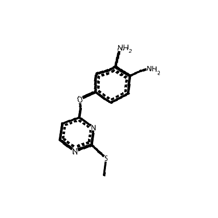 CSc1nccc(Oc2ccc(N)c(N)c2)n1